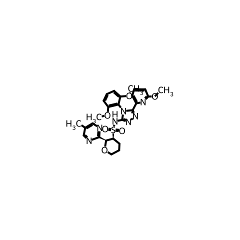 COc1cccc(-c2nnc(NS(=O)(=O)[C@H]3CCCO[C@H]3c3ncc(C)cn3)n2-c2c(OC)cccc2OC)n1